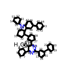 C[Si]1(C)c2ccccc2-c2nc(-c3cccc(-c4ccccc4)c3)nc(-c3cccc(-c4cccc5c4c4cc(-c6ccccc6)ccc4n5-c4ccccc4)c3)c21